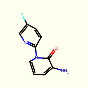 Nc1cccn(-c2ccc(F)cn2)c1=O